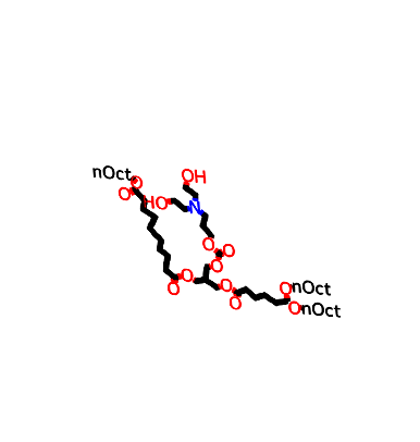 CCCCCCCCOC(=O)CCCCCCCCC(=O)OCC(COC(=O)CCCCC(OCCCCCCCC)OCCCCCCCC)COC(=O)OCCCN(CCO)CCO